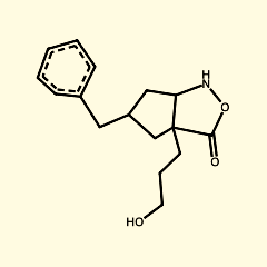 O=C1ONC2CC(Cc3ccccc3)CC12CCCO